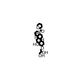 C[C@]12CC[C@H]3[C@@H](CC[C@@]4(O)C[C@@H](OC[C@H](O)CO)CC[C@]34C)[C@@H]1CCCN2C(=O)[C@H]1CCCCO1